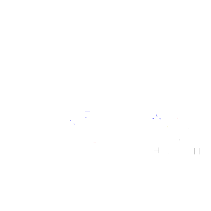 CC(C)(C)S(=O)(=O)N[C@H]1CC[C@H](C(=O)NNc2ccc(-c3ccccc3)cc2)CC1